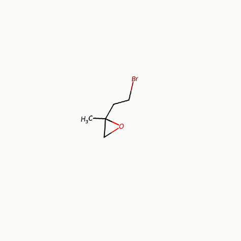 CC1(CCBr)CO1